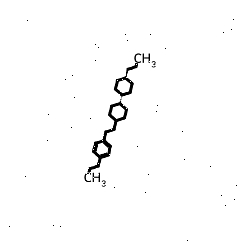 CCCc1ccc(CCC2CCC([C@H]3CC[C@H](CCC)CC3)CC2)cc1